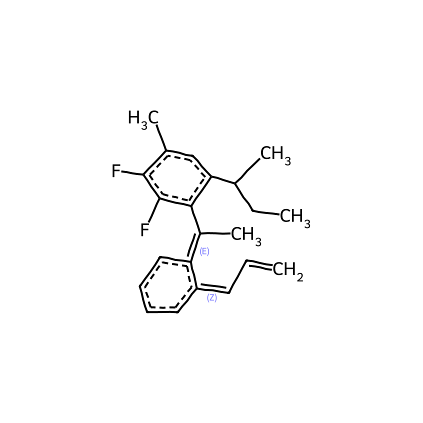 C=C/C=c1/cccc/c1=C(/C)c1c(C(C)CC)cc(C)c(F)c1F